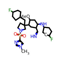 COC1CC(NC2CCC(F)CC2)C(C=N)CC1C1(CC2CCC(F)CC2)CCN(S(=O)(=O)c2cn(C)cn2)C1